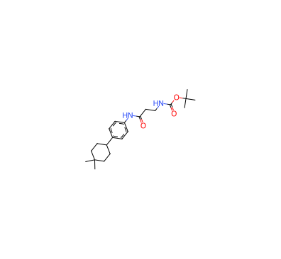 CC1(C)CCC(c2ccc(NC(=O)CCNC(=O)OC(C)(C)C)cc2)CC1